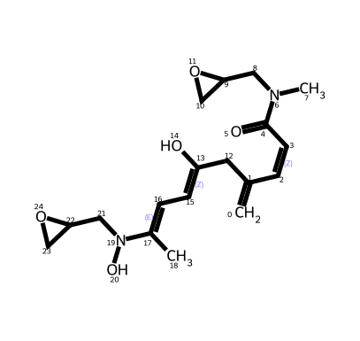 C=C(/C=C\C(=O)N(C)CC1CO1)C/C(O)=C/C=C(\C)N(O)CC1CO1